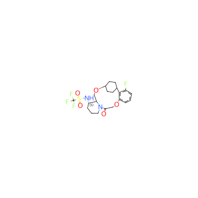 O=C1COc2cccc(F)c2C2CCC(CC2)OCC2[C@@H](NS(=O)(=O)C(F)(F)F)CCCN12